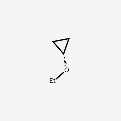 CCO[C@H]1[CH]C1